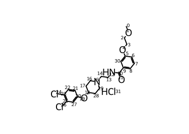 COCCOc1cccc(C(=O)NCCN2CCC(Oc3ccc(Cl)c(Cl)c3)CC2)c1.Cl